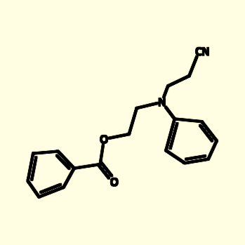 N#CCCN(CCOC(=O)c1ccccc1)c1ccccc1